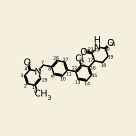 Cc1ccc(=O)n(Cc2ccc(-c3cccc(C4CCC(=O)NC4=O)c3Cl)cc2)c1